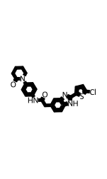 O=C(Cc1ccc2[nH]c(-c3ccc(Cl)s3)nc2c1)Nc1ccc(N2CCCCC2=O)cc1